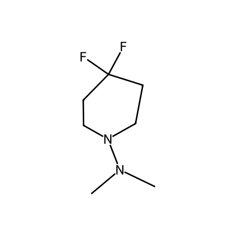 CN(C)N1CCC(F)(F)CC1